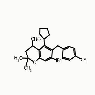 CC(C)c1cc2c(c(C3CCCC3)c1Cc1ccc(C(F)(F)F)cc1)C(C=O)CC(C)(C)O2